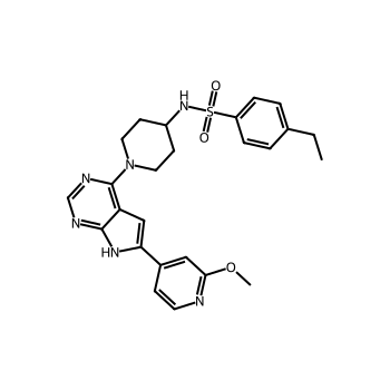 CCc1ccc(S(=O)(=O)NC2CCN(c3ncnc4[nH]c(-c5ccnc(OC)c5)cc34)CC2)cc1